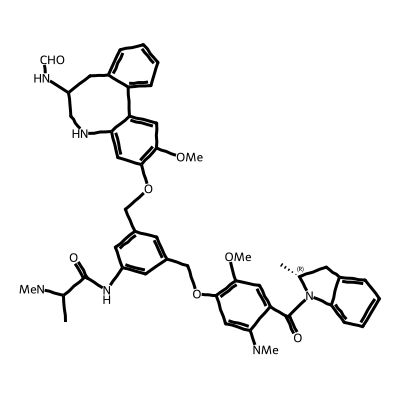 CNc1cc(OCc2cc(COc3cc4c(cc3OC)-c3ccccc3CC(NC=O)CN4)cc(NC(=O)C(C)NC)c2)c(OC)cc1C(=O)N1c2ccccc2C[C@H]1C